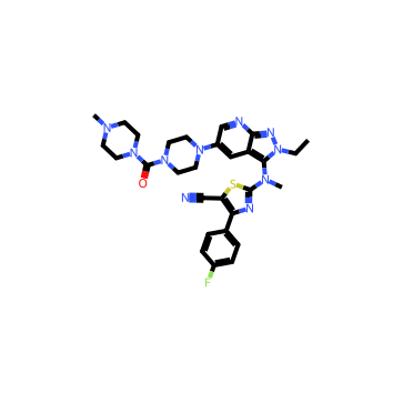 CCn1nc2ncc(N3CCN(C(=O)N4CCN(C)CC4)CC3)cc2c1N(C)c1nc(-c2ccc(F)cc2)c(C#N)s1